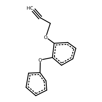 C#CCOc1ccccc1Oc1ccccc1